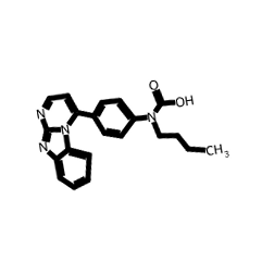 CCCCN(C(=O)O)c1ccc(-c2ccnc3nc4ccccc4n23)cc1